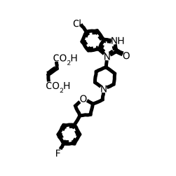 O=C(O)C=CC(=O)O.O=c1[nH]c2cc(Cl)ccc2n1C1CCN(CC2CC(c3ccc(F)cc3)CO2)CC1